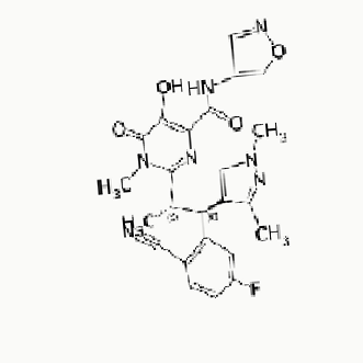 Cc1nn(C)cc1[C@@H](c1cc(F)ccc1C#N)[C@H](C)c1nc(C(=O)Nc2cnoc2)c(O)c(=O)n1C